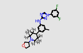 [2H]C1([2H])C(c2cc(C)cc(Nc3ncn(-c4cc(F)cc(F)c4)n3)c2)C([2H])([2H])C([2H])([2H])N(C2CCOC2)C1([2H])[2H]